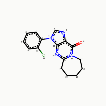 O=c1c2ncn(-c3ccccc3Cl)c2nc2n1CCCCC2